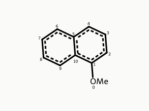 [CH2]Oc1cccc2ccccc12